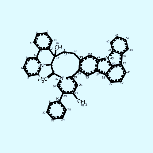 C=C1C2[n+]3ccccc3-c3ccccc3C2(C)CCc2cc3c(cc2-c2cc(C)c(-c4ccccc4)c[n+]21)c1cccc2c4ccccc4n3c21